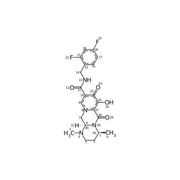 C[C@H]1CCN(C)[C@H]2Cn3cc(C(=O)NCc4ccc(F)cc4F)c(=O)c(O)c3C(=O)N21